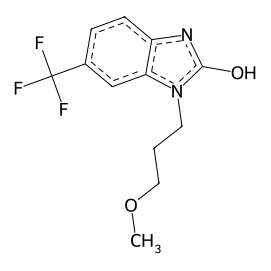 COCCCn1c(O)nc2ccc(C(F)(F)F)cc21